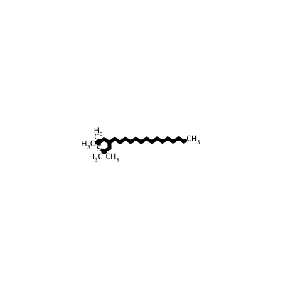 CCCCCCCCCCCCCCCC1CC(C)(C)SC(C)(C)C1